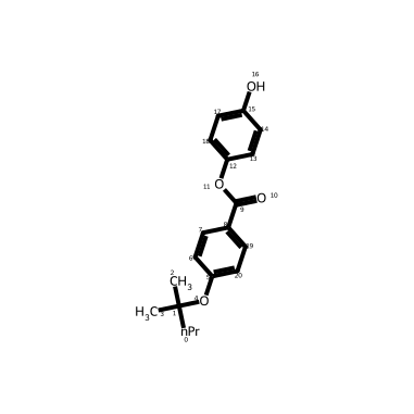 CCCC(C)(C)Oc1ccc(C(=O)Oc2ccc(O)cc2)cc1